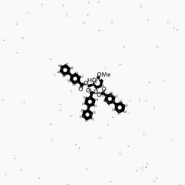 CON=C[C@H](OC(=O)c1ccc(-c2ccccc2)cc1)[C@@H](OC(=O)c1ccc(-c2ccccc2)cc1)[C@@H](O)COC(=O)c1ccc(-c2ccccc2)cc1